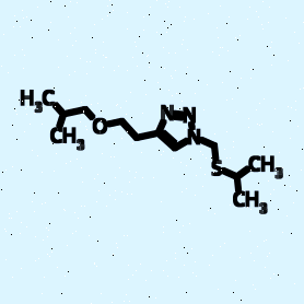 CC(C)COCCc1cn(CSC(C)C)nn1